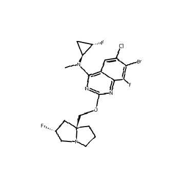 CN(c1nc(OC[C@@]23CCCN2C[C@H](F)C3)nc2c(F)c(Br)c(Cl)cc12)[C@H]1C[C@@H]1F